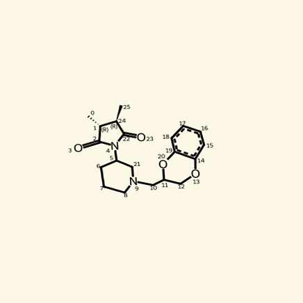 C[C@H]1C(=O)N(C2CCCN(CC3COc4ccccc4O3)C2)C(=O)[C@@H]1C